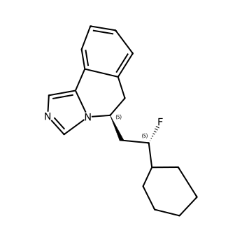 F[C@@H](C[C@@H]1Cc2ccccc2-c2cncn21)C1CCCCC1